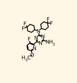 COc1ccc(F)c(-c2nc(N)nc(N(C3CCC(F)(F)CC3)C3CCC(F)(F)CC3)n2)n1